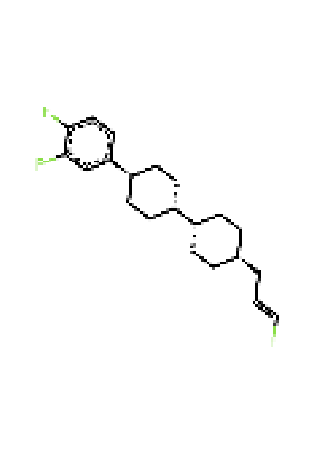 FC=CC[C@H]1CC[C@H]([C@H]2CC[C@H](c3ccc(F)c(F)c3)CC2)CC1